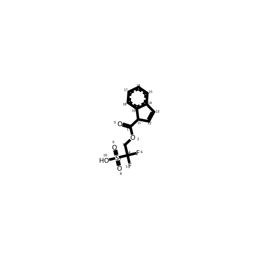 O=C(OCC(F)(F)S(=O)(=O)O)C1C=Cc2ccccc21